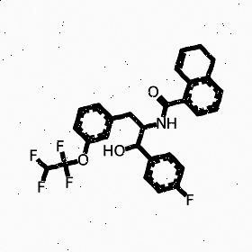 O=C(NC(Cc1cccc(OC(F)(F)C(F)F)c1)C(O)c1ccc(F)cc1)c1cccc2c1C=CCC2